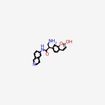 NCC(C(=O)Nc1ccc2cnccc2c1)c1ccc2c(c1)OB(O)C=C2